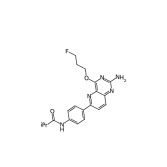 CC(C)C(=O)Nc1ccc(-c2ccc3nc(N)nc(OCCCF)c3n2)cc1